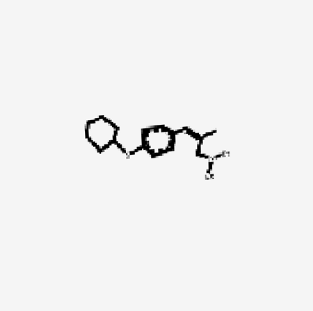 CCN(CC)CC(C)=Cc1ccc(SC2CCCCC2)cc1